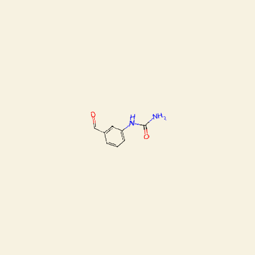 NC(=O)Nc1cccc(C=O)c1